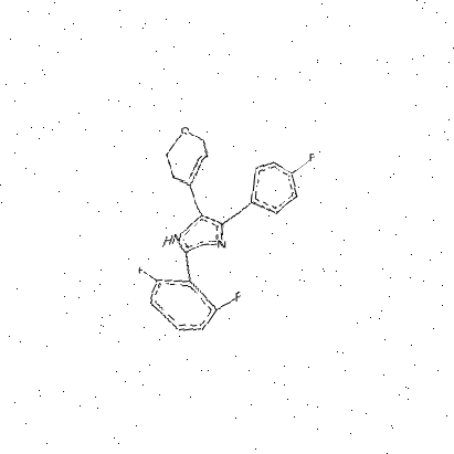 Fc1ccc(-c2nc(-c3c(F)cccc3F)[nH]c2C2=CCOCC2)cc1